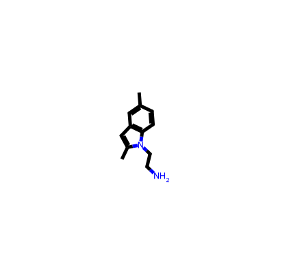 Cc1ccc2c(c1)cc(C)n2CCN